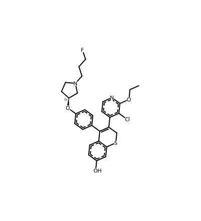 CCOc1nccc(C2=C(c3ccc(O[C@H]4CCN(CCCF)C4)cc3)c3ccc(O)cc3SC2)c1Cl